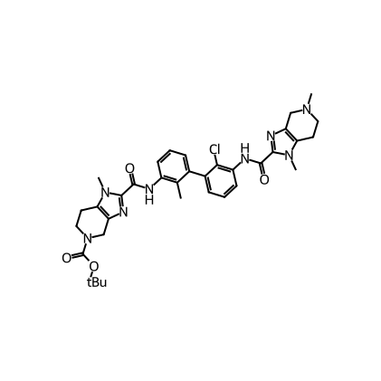 Cc1c(NC(=O)c2nc3c(n2C)CCN(C(=O)OC(C)(C)C)C3)cccc1-c1cccc(NC(=O)c2nc3c(n2C)CCN(C)C3)c1Cl